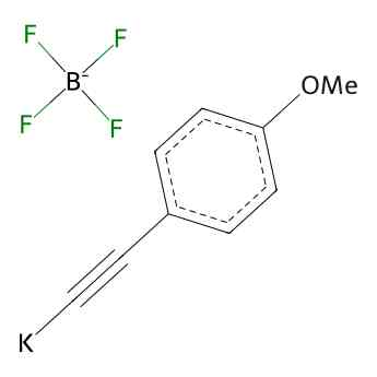 COc1ccc(C#[C][K])cc1.F[B-](F)(F)F